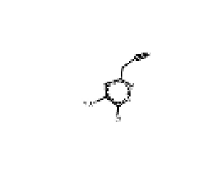 Cc1cc(CC#N)nnc1Cl